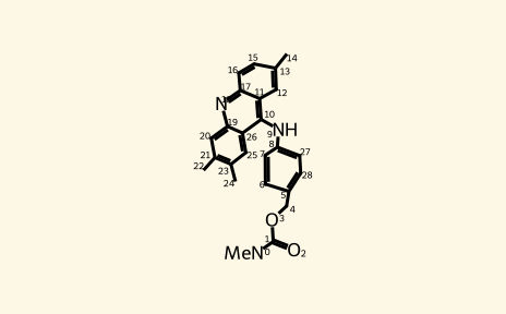 CNC(=O)OCc1ccc(Nc2c3cc(C)ccc3nc3cc(C)c(C)cc23)cc1